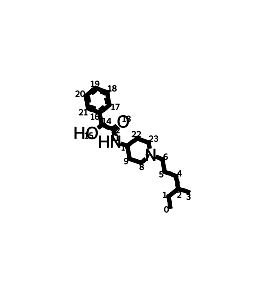 CCC(C)CCCN1CCC(NC(=O)C(O)c2ccccc2)CC1